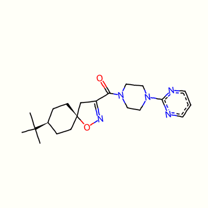 CC(C)(C)[C@H]1CC[C@@]2(CC1)CC(C(=O)N1CCN(c3ncccn3)CC1)=NO2